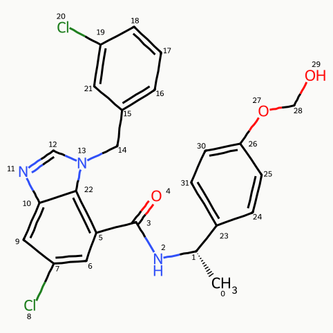 C[C@H](NC(=O)c1cc(Cl)cc2ncn(Cc3cccc(Cl)c3)c12)c1ccc(OCO)cc1